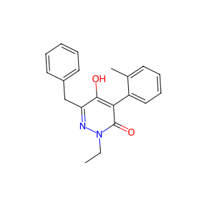 CCn1nc(Cc2ccccc2)c(O)c(-c2ccccc2C)c1=O